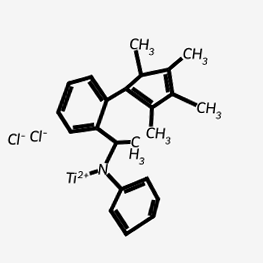 CC1=C(C)C(C)C(c2ccccc2C(C)[N]([Ti+2])c2ccccc2)=C1C.[Cl-].[Cl-]